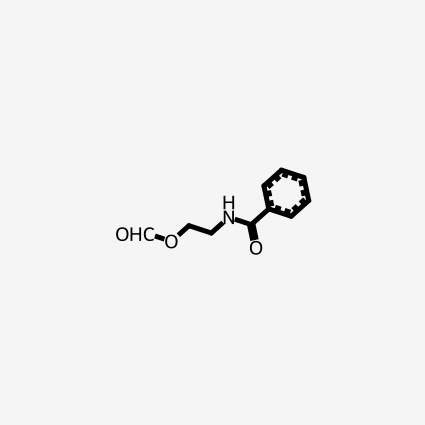 O=COCCNC(=O)c1ccccc1